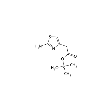 C[Si](C)(C)OC(=O)Cc1csc(N)n1